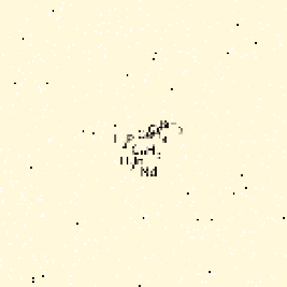 P.[BiH3].[Ce].[GaH3].[GeH4].[InH3].[Nd]